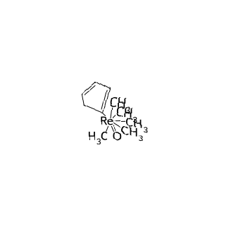 [CH3][Re]([CH3])([CH3])([CH3])([CH3])(=[O])[C]1=CC=CC1